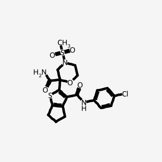 CS(=O)(=O)N1CCOC(C(N)=O)(c2sc3c(c2C(=O)Nc2ccc(Cl)cc2)CCC3)C1